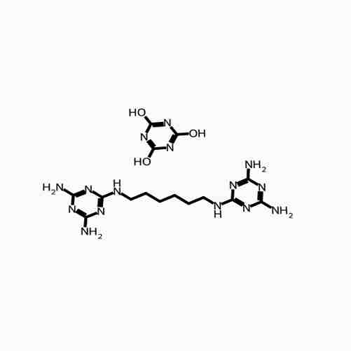 Nc1nc(N)nc(NCCCCCCNc2nc(N)nc(N)n2)n1.Oc1nc(O)nc(O)n1